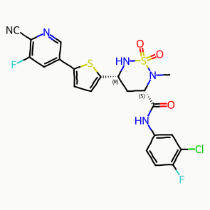 CN1[C@H](C(=O)Nc2ccc(F)c(Cl)c2)C[C@H](c2ccc(-c3cnc(C#N)c(F)c3)s2)NS1(=O)=O